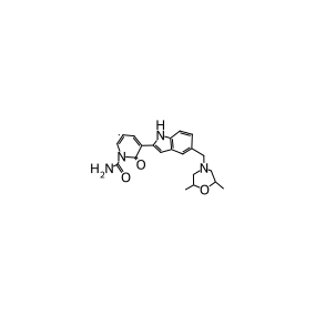 CC1CN(Cc2ccc3[nH]c(-c4c[c]cn(C(N)=O)c4=O)cc3c2)CC(C)O1